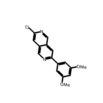 COc1cc(OC)cc(-c2cc3cnc(Cl)cc3cn2)c1